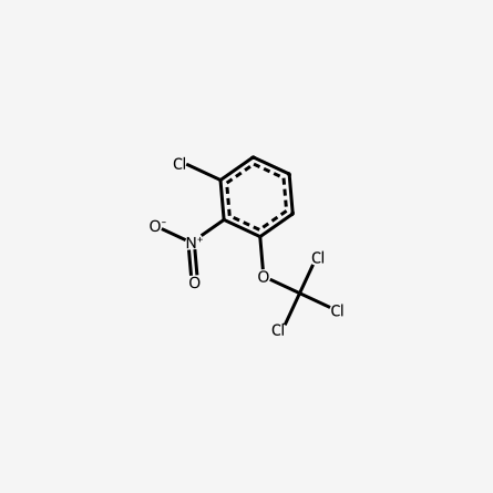 O=[N+]([O-])c1c(Cl)cccc1OC(Cl)(Cl)Cl